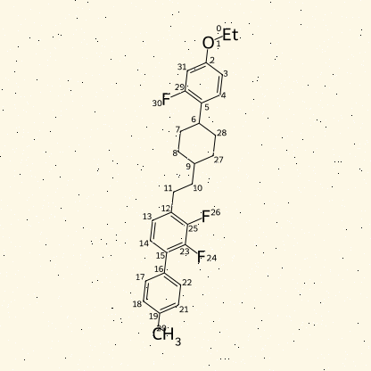 CCOc1ccc(C2CCC(CCc3ccc(-c4ccc(C)cc4)c(F)c3F)CC2)c(F)c1